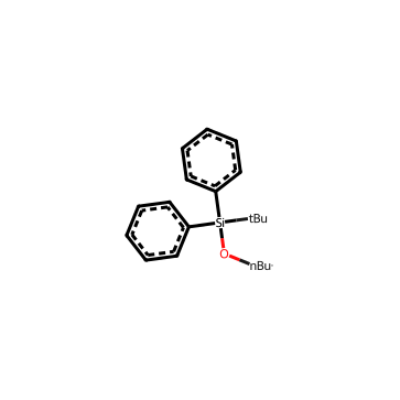 CCC[CH]O[Si](c1ccccc1)(c1ccccc1)C(C)(C)C